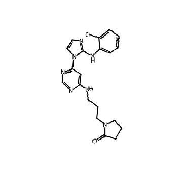 O=C1CCCN1CCCNc1cc(-n2ccnc2Nc2ccccc2Cl)ncn1